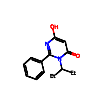 CCC(CC)n1c(-c2ccccc2)nc(O)cc1=O